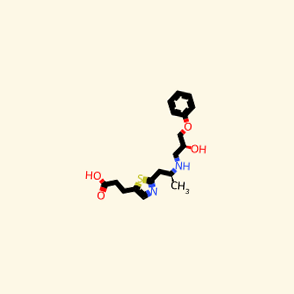 C[C@H](Cc1ncc(CCC(=O)O)s1)NC[C@H](O)COc1ccccc1